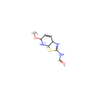 COC1C=CC2N=C(NC=O)SC2N1